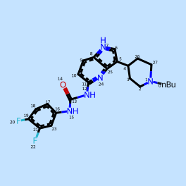 CCCCN1CCC(c2c[nH]c3ccc(NC(=O)Nc4ccc(F)c(F)c4)nc23)CC1